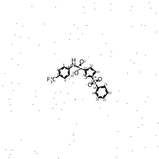 O=S(=O)(Nc1ccc(C(F)(F)F)cc1)c1ccc(S(=O)(=O)c2ccccc2)s1